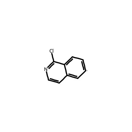 Clc1nccc2c[c]ccc12